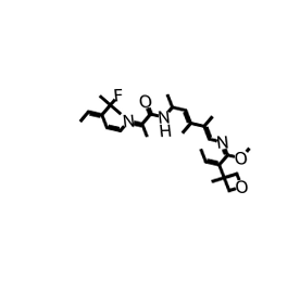 C\C=C(/C(=N\C=C(C)\C(C)=C\C(C)NC(=O)/C(C)=N/C=C\C(=C/C)C(C)(C)F)OC)C1(C)COC1